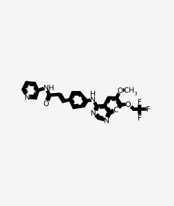 COc1cc2c(Nc3ccc(C=CC(=O)Nc4cccnc4)cc3)ncnc2cc1OCC(F)(F)F